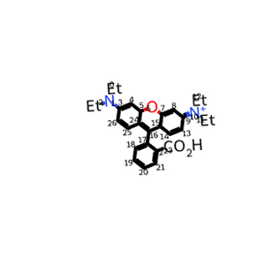 CCN(CC)C1=CC2OC3=CC(=[N+](CC)CC)C=CC3C(c3ccccc3C(=O)O)=C2C=C1